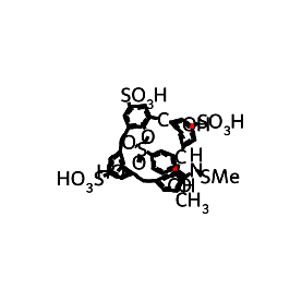 CSNC(=O)c1ccc(S(=O)(=O)Oc2c3cc(S(=O)(=O)O)cc2Cc2cc(S(=O)(=O)O)cc(c2O)Cc2cc(C)cc(c2O)Cc2cc(S(=O)(=O)O)cc(c2O)C3)cc1